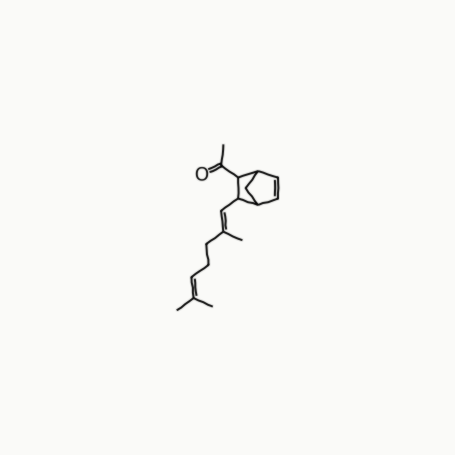 CC(=O)C1C2C=CC(C2)C1C=C(C)CCC=C(C)C